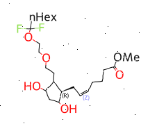 CCCCCCC(F)(F)OCCOCCC1C(O)CC(O)[C@@H]1C/C=C\CCCC(=O)OC